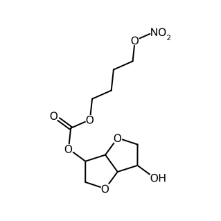 O=C(OCCCCO[N+](=O)[O-])OC1COC2C(O)COC12